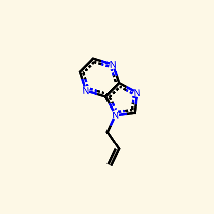 C=CCn1cnc2nccnc21